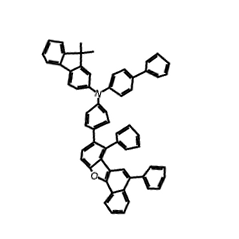 CC1(C)c2ccccc2-c2ccc(N(c3ccc(-c4ccccc4)cc3)c3ccc(-c4ccc5oc6c7ccccc7c(-c7ccccc7)cc6c5c4-c4ccccc4)cc3)cc21